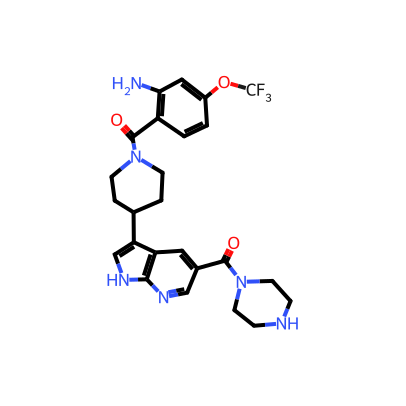 Nc1cc(OC(F)(F)F)ccc1C(=O)N1CCC(c2c[nH]c3ncc(C(=O)N4CCNCC4)cc23)CC1